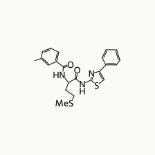 CSCCC(NC(=O)c1cccc(C)c1)C(=O)Nc1nc(-c2ccccc2)cs1